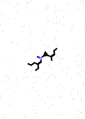 CC/C=C(/C)C1=CC1N(C)/C=C(/CC)CCC